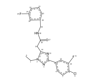 CCn1nc(-c2ccc(Cl)c(F)c2)nc1CC(=O)NCc1cccc(F)c1